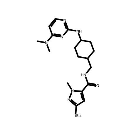 CN(C)c1ccnc(NC2CCC(CNC(=O)c3cc(C(C)(C)C)nn3C)CC2)n1